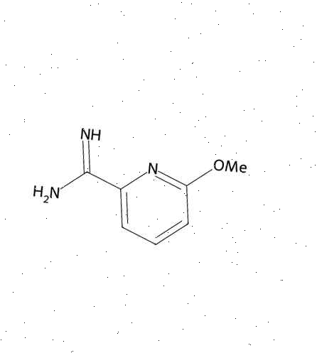 COc1cccc(C(=N)N)n1